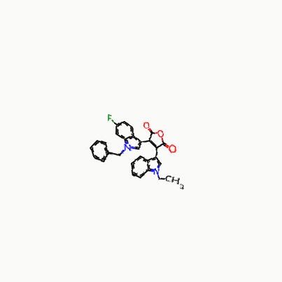 CCn1cc(C2=C(c3cn(Cc4ccccc4)c4cc(F)ccc34)C(=O)OC2=O)c2ccccc21